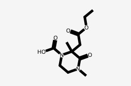 CCOC(=O)CC1(C)C(=O)N(C)CCN1C(=O)O